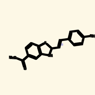 COC(=O)c1ccc2c(c1)NC(/C=C/c1ccc(N)cc1)S2